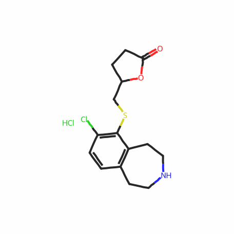 Cl.O=C1CCC(CSc2c(Cl)ccc3c2CCNCC3)O1